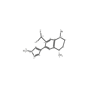 CC(C)N1CC[C@H](C)c2cc(-c3cnn(C)c3)c(C(F)F)cc21